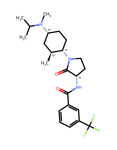 CC(C)N(C)[C@@H]1CC[C@H](N2CC[C@H](NC(=O)c3cccc(C(F)(F)F)c3)C2=O)[C@@H](C)C1